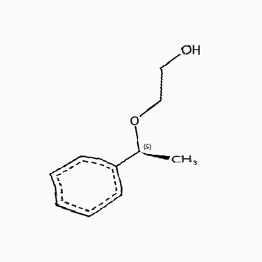 C[C@H](OCCO)c1ccccc1